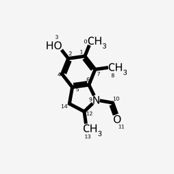 Cc1c(O)cc2c(c1C)N(C=O)C(C)C2